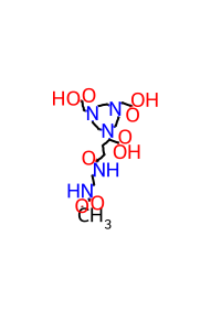 COC(=O)NCCNC(=O)CCC(C(=O)O)N1CCN(CC(=O)O)CCN(CC(=O)O)CC1